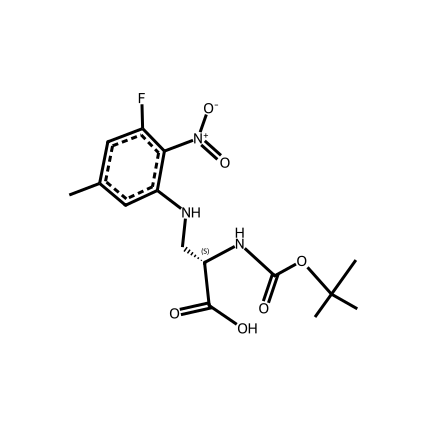 Cc1cc(F)c([N+](=O)[O-])c(NC[C@H](NC(=O)OC(C)(C)C)C(=O)O)c1